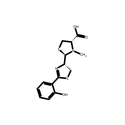 CN1[C@@H](C(=O)O)CS[C@@H]1[C@@H]1CSC(c2ccccc2O)=N1